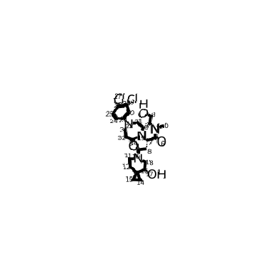 CN(CCO)C(=O)[C@H](CCN1CCC2(CC2)[C@H](O)C1)N1CCN(c2ccc(Cl)c(Cl)c2)CCC1=O